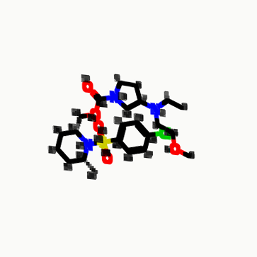 CCN(CCOC)C1CCN(C(=O)OC[C@H]2CCC[C@@H](C)N2S(=O)(=O)c2ccc(Cl)cc2)C1